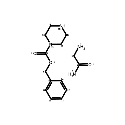 NCC(N)=O.O=C(OCc1ccccc1)N1CCNCC1